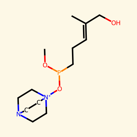 COP(CC/C=C(\C)CO)O[N+]12CCN(CC1)CC2